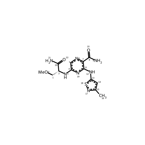 COC[C@@H](Nc1cnc(C(N)=O)c(Nc2cc(C)ns2)n1)C(N)=O